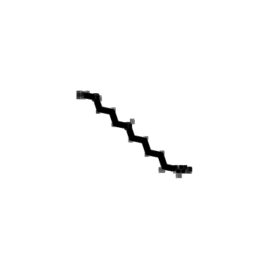 CCOCCCOCCCCCNC